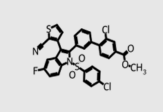 COC(=O)c1ccc(-c2cccc(-c3c(-c4ccsc4C#N)c4cc(F)ccc4n3S(=O)(=O)c3ccc(Cl)cc3)c2)c(Cl)c1